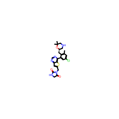 Cc1cc(Cl)cc(-c2ncnc3cc(CN4C(=O)CNC4=O)sc23)c1C[C@@H]1CNCC(C)(C)O1